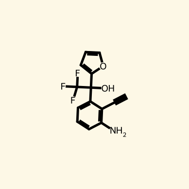 C#Cc1c(N)cccc1C(O)(c1ccco1)C(F)(F)F